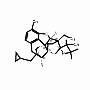 CC(C)(C)C(C)(O)[C@H]1C[C@@]23CC[C@]1(CO)[C@@H]1Oc4c(O)ccc5c4[C@@]12CCN(CC1CC1)[C@@H]3C5